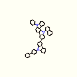 c1ccc(-c2ccc(-n3c4ccccc4c4cc(-c5ccc6c(c5)c5ccc7c(c8ccccc8n7-c7ccccc7)c5n6-c5cccc6ccccc56)ccc43)cc2)cc1